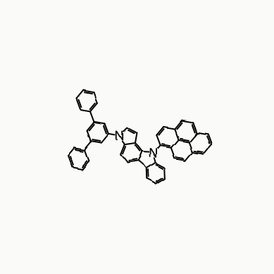 c1ccc(-c2cc(-c3ccccc3)cc(-n3ccc4c3ccc3c5ccccc5n(-c5ccc6ccc7cccc8ccc5c6c78)c34)c2)cc1